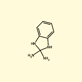 NC1(N)Nc2ccccc2N1